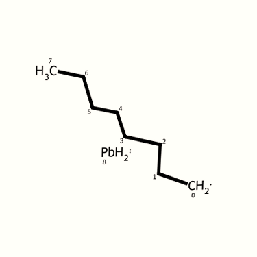 [CH2]CCCCCCC.[PbH2]